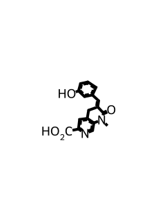 CN1C(=O)C(=Cc2cccc(O)c2)Cc2cc(C(=O)O)ncc21